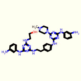 CN1CCN(c2nc(Nc3ccc(CCNc4nc(NCCO)nc(Nc5cccc(N)c5)n4)cc3)nc(Nc3cccc(N)c3)n2)CC1